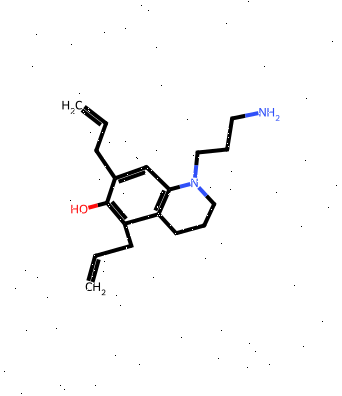 C=CCc1cc2c(c(CC=C)c1O)CCCN2CCCN